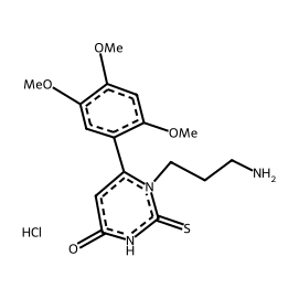 COc1cc(OC)c(-c2cc(=O)[nH]c(=S)n2CCCN)cc1OC.Cl